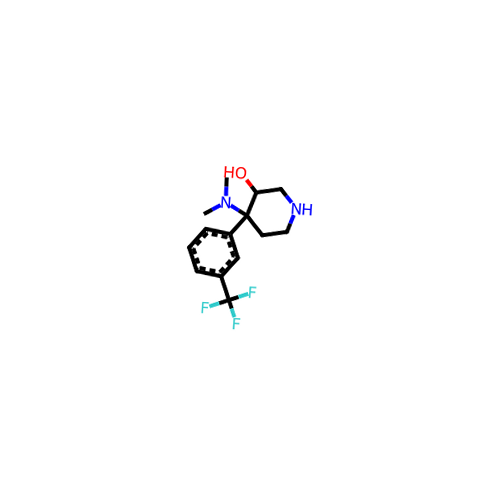 CN(C)C1(c2cccc(C(F)(F)F)c2)CCNCC1O